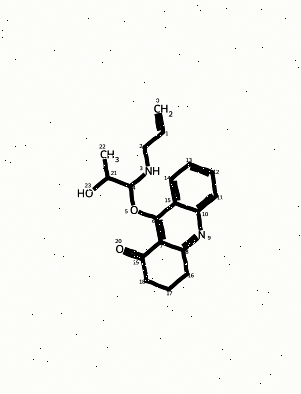 C=CCNC(Oc1c2c(nc3ccccc13)CCCC2=O)C(C)O